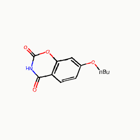 CCCCOc1ccc2c(=O)[nH]c(=O)oc2c1